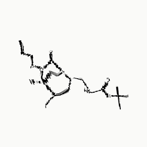 C=CCON1C(=O)N2C[C@H]1C(I)=C[C@@H]2CNC(=O)OC(C)(C)C